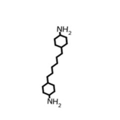 NC1CCC(CCCCCCC2CCC(N)CC2)CC1